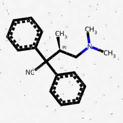 C[C@@H](CN(C)C)C(C#N)(c1ccccc1)c1ccccc1